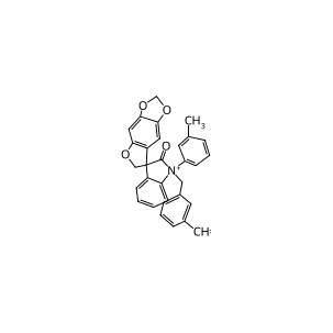 [CH]c1cccc(C[N+]2(c3cccc(C)c3)C(=O)C3(COc4cc5c(cc43)OCO5)c3ccccc32)c1